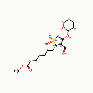 COC(=O)CCCCCC[C@H]1[C@H](C=O)[C@@H](OC2CCCCO2)CS1(=O)=O